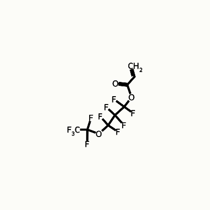 C=CC(=O)OC(F)(F)C(F)(F)C(F)(F)OC(F)(F)C(F)(F)F